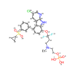 CCN(CCOP(=O)(O)O)CCC(F)(F)Oc1ccc(-c2cccc(S(=O)(=O)C3CC3)c2)c2c1[nH]c1ncc(Cl)cc12